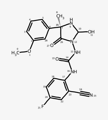 COc1cccc([C@@]2(C)NC(O)N(NC(=O)Nc3ccc(F)cc3C#N)C2=O)c1